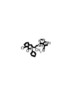 C[C@H](CNc1ncnc2[nH]cc(C#N)c12)c1cc2cccc(Cl)c2c(=O)n1-c1ccccc1